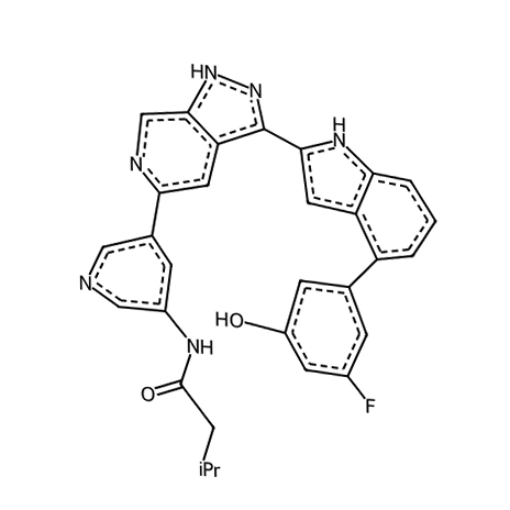 CC(C)CC(=O)Nc1cncc(-c2cc3c(-c4cc5c(-c6cc(O)cc(F)c6)cccc5[nH]4)n[nH]c3cn2)c1